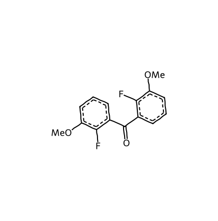 COc1cccc(C(=O)c2cccc(OC)c2F)c1F